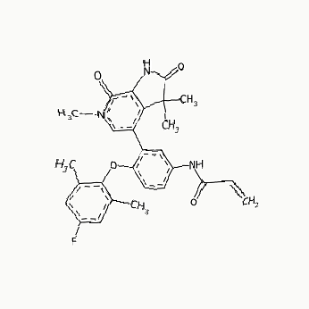 C=CC(=O)Nc1ccc(Oc2c(C)cc(F)cc2C)c(-c2cn(C)c(=O)c3c2C(C)(C)C(=O)N3)c1